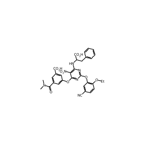 CCOc1ccc(C#N)cc1Oc1nc(NC(Cc2ccccc2)C(=O)O)c([N+](=O)[O-])c(Oc2cc(C(=O)O)cc(C(=O)N(C)C)c2)n1